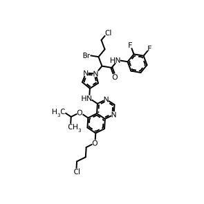 CC(C)Oc1cc(OCCCCl)cc2ncnc(Nc3cnn(C(C(=O)Nc4cccc(F)c4F)C(Br)CCCl)c3)c12